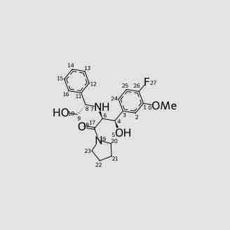 COc1cc([C@@H](O)[C@H](N[C@H](CO)c2ccccc2)C(=O)N2CCCC2)ccc1F